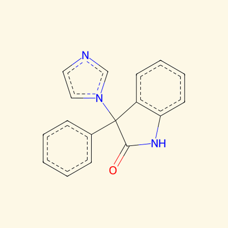 O=C1Nc2ccccc2C1(c1ccccc1)n1ccnc1